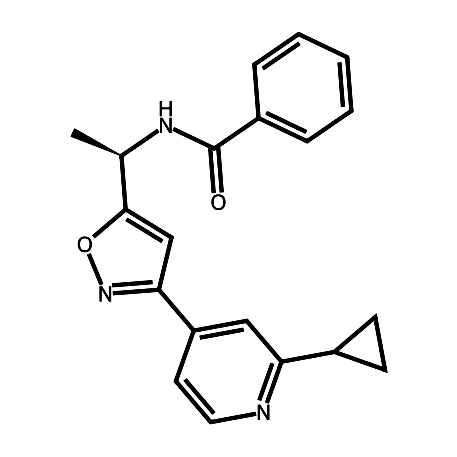 C[C@@H](NC(=O)c1ccccc1)c1cc(-c2ccnc(C3CC3)c2)no1